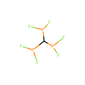 FP(F)C(P(F)F)P(F)F